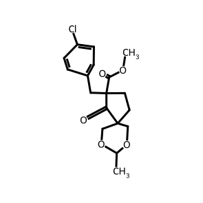 COC(=O)C1(Cc2ccc(Cl)cc2)CCC2(COC(C)OC2)C1=O